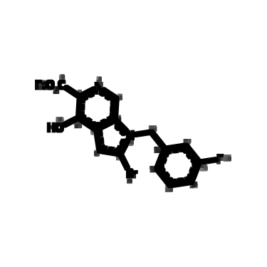 CCOC(=O)c1ncc2c(cc(Br)n2Cc2cccc(F)c2)c1O